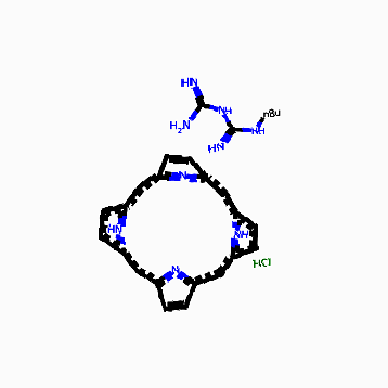 C1=Cc2cc3ccc(cc4nc(cc5ccc(cc1n2)[nH]5)C=C4)[nH]3.CCCCNC(=N)NC(=N)N.Cl